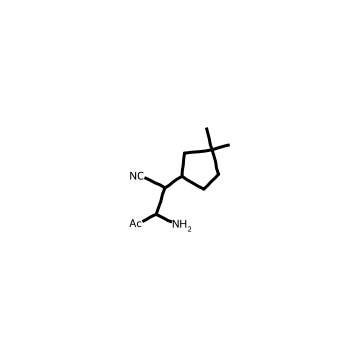 CC(=O)C(N)C(C#N)C1CCC(C)(C)C1